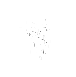 COc1ccc(CN(Cc2ccc(OC)cc2OC)c2nc(-c3cnccc3C)cc3cc(NC(=O)Nc4cnn(C(C)C#N)c4)ncc23)c(OC)c1